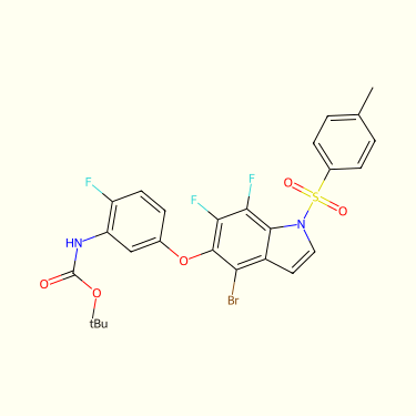 Cc1ccc(S(=O)(=O)n2ccc3c(Br)c(Oc4ccc(F)c(NC(=O)OC(C)(C)C)c4)c(F)c(F)c32)cc1